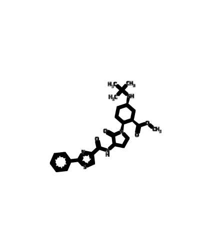 COC(=O)[C@@H]1C[C@H](NC(C)(C)C)CC[C@@H]1N1CCC(NC(=O)c2csc(-c3ccccc3)n2)C1=O